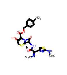 CO/N=C(\C(=O)NC1C(=O)N2C(C(=O)OCc3ccc([N+](=O)[O-])cc3)=C(O)CS[C@H]12)c1csc(NC=O)n1